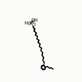 CCCCc1ccccc1CCCCCCCCCCCCCCCCCCOP(O)O